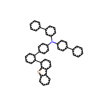 c1ccc(-c2ccc(N(c3ccc(-c4ccccc4-c4cccc5c4sc4ccccc45)cc3)c3cccc(-c4ccccc4)c3)cc2)cc1